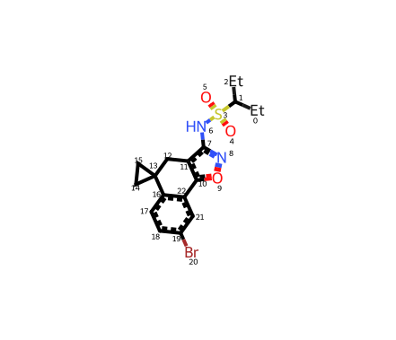 CCC(CC)S(=O)(=O)Nc1noc2c1CC1(CC1)c1ccc(Br)cc1-2